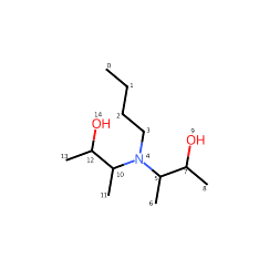 CCCCN(C(C)C(C)O)C(C)C(C)O